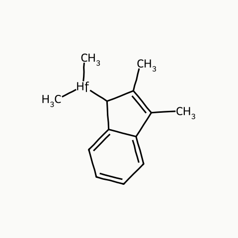 CC1=C(C)[CH]([Hf]([CH3])[CH3])c2ccccc21